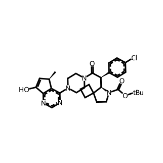 C[C@@H]1C=C(O)c2ncnc(N3CCN(C(=O)[C@@H](c4ccc(Cl)cc4)[C@H]4N(C(=O)OC(C)(C)C)CCC45CCC5)CC3)c21